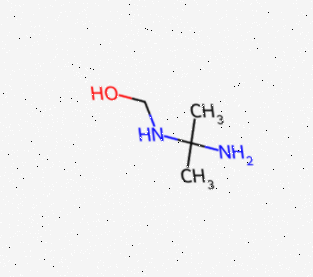 CC(C)(N)NCO